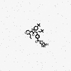 CCCC1COCCN1C1=NC2(CCC(C(C)(C)C)CC2)N([C@H](CCC(C)(C)C)c2ccc(C(=O)NCc3nn[nH]n3)cc2)C1=O